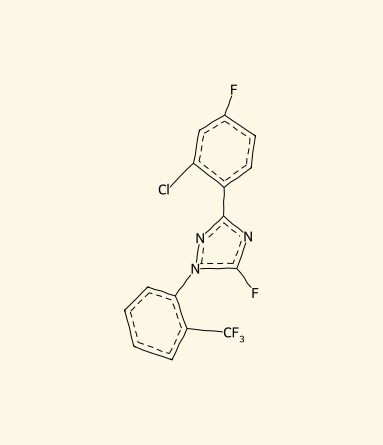 Fc1ccc(-c2nc(F)n(-c3ccccc3C(F)(F)F)n2)c(Cl)c1